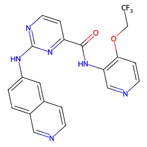 O=C(Nc1cnccc1OCC(F)(F)F)c1ccnc(Nc2ccc3cnccc3c2)n1